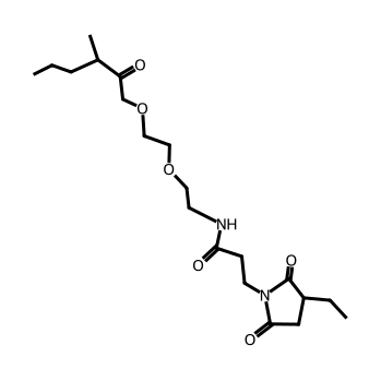 CCCC(C)C(=O)COCCOCCNC(=O)CCN1C(=O)CC(CC)C1=O